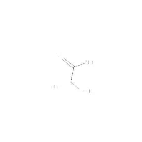 CCC[C@H](C(N)=O)C(=O)O